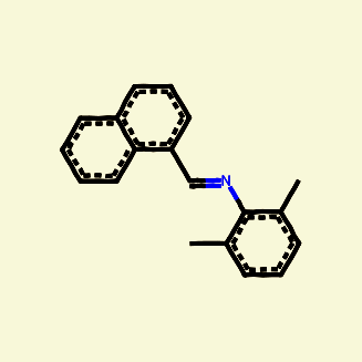 Cc1cccc(C)c1N=Cc1cccc2ccccc12